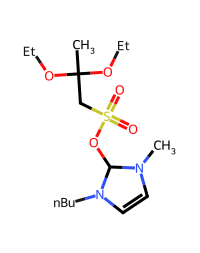 CCCCN1C=CN(C)C1OS(=O)(=O)CC(C)(OCC)OCC